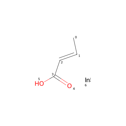 CC=CC(=O)O.[In]